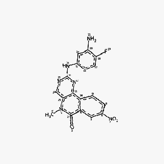 Cn1c(=O)c2cc([N+](=O)[O-])ccc2c2nc(Nc3ccc(F)c(N)c3)ncc21